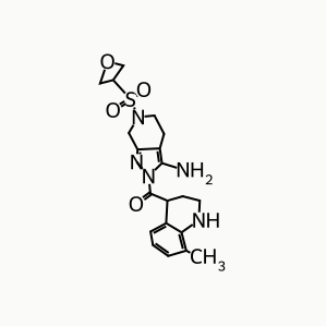 Cc1cccc2c1NCCC2C(=O)n1nc2c(c1N)CCN(S(=O)(=O)C1COC1)C2